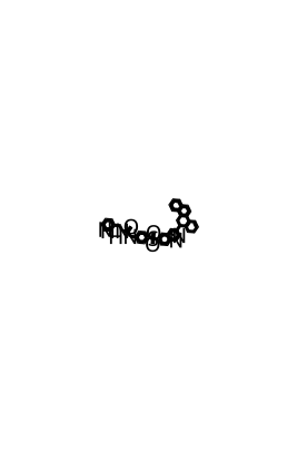 O=C(NCc1cccnc1)Nc1ccc(S(=O)(=O)c2ccc3nnc(C4Cc5c(ccc6ccccc56)C5=C4CCC=C5)cc3c2)cc1